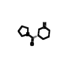 O=C([C@H]1CCCNC1)N1CCCC1